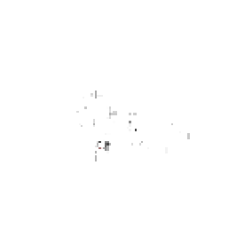 COc1cc(O)c2c3c1C[C@@H]1[C@@H]4CC[C@H](N[C@@H](CCC(=O)O)C(=O)O)[C@H](O2)[C@]34CCN1C